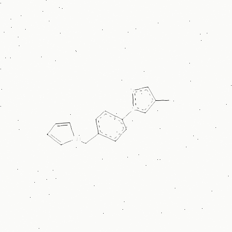 O=C(O)c1cnn(-c2ccc(C[SH]3C=CC=C3)cc2)c1